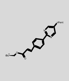 CCCCCc1cnc(-c2ccc(C=CC(=O)OC[C@H](C)CC)cc2)nc1